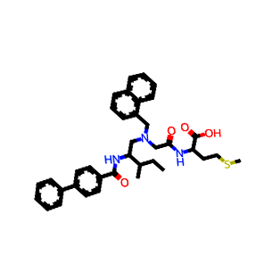 CCC(C)C(CN(CC(=O)NC(CCSC)C(=O)O)Cc1cccc2ccccc12)NC(=O)c1ccc(-c2ccccc2)cc1